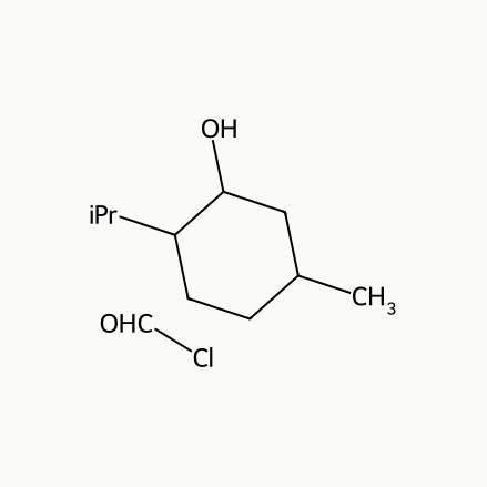 CC1CCC(C(C)C)C(O)C1.O=CCl